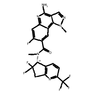 CN(C(=O)c1cc2c(cc1F)nc(N)c1cnn(C)c12)[C@@H]1c2ccc(C(F)(F)F)nc2CC1(F)F